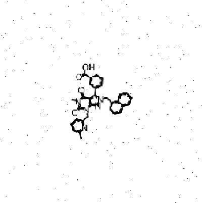 Cc1cccc(Cn2c(=O)n(C)c(=O)c3c(-c4cccc(C(=O)O)c4)n(Cc4cccc5ccccc45)nc32)n1